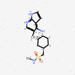 CCNS(=O)(=O)C[C@H]1CC[C@H](Nc2c(C(=O)OCC)cnc3[nH]ccc23)CC1